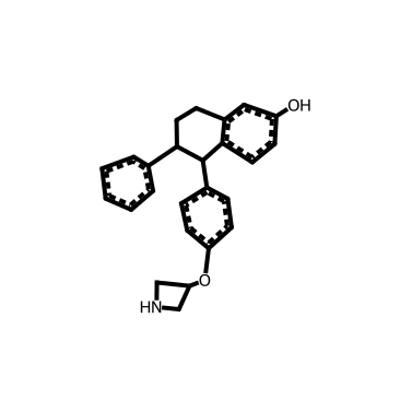 Oc1ccc2c(c1)CCC(c1ccccc1)C2c1ccc(OC2CNC2)cc1